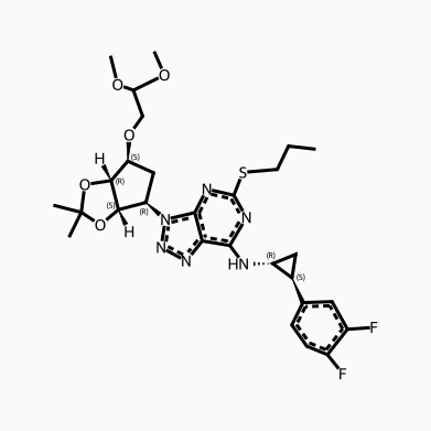 CCCSc1nc(N[C@@H]2C[C@H]2c2ccc(F)c(F)c2)c2nnn([C@@H]3C[C@H](OCC(OC)OC)[C@H]4OC(C)(C)O[C@H]43)c2n1